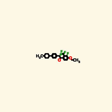 CCOc1ccc(C(=O)Cc2ccc(C3CCC(C)CC3)cc2)c(C(F)(F)F)c1F